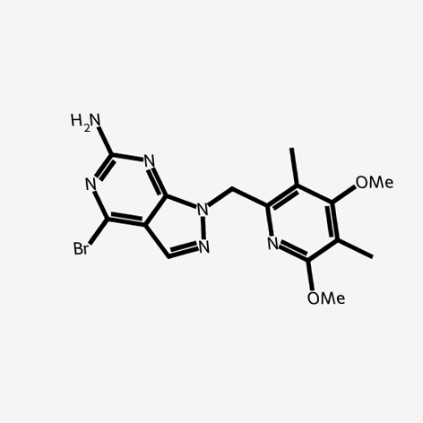 COc1nc(Cn2ncc3c(Br)nc(N)nc32)c(C)c(OC)c1C